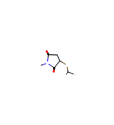 CCCC(CC)SC1CC(=O)N(C)C1=O